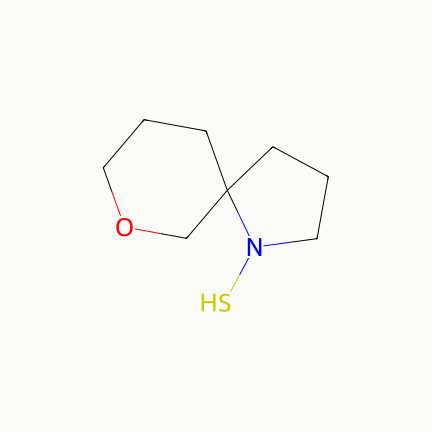 SN1CCCC12CCCOC2